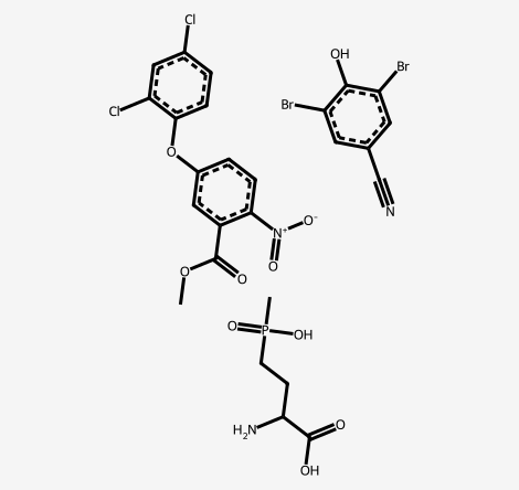 COC(=O)c1cc(Oc2ccc(Cl)cc2Cl)ccc1[N+](=O)[O-].CP(=O)(O)CCC(N)C(=O)O.N#Cc1cc(Br)c(O)c(Br)c1